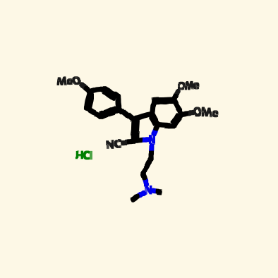 COc1ccc(-c2c(C#N)n(CCN(C)C)c3cc(OC)c(OC)cc23)cc1.Cl